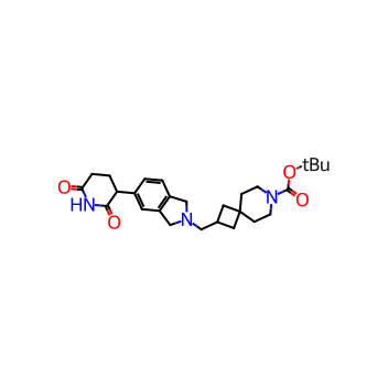 CC(C)(C)OC(=O)N1CCC2(CC1)CC(CN1Cc3ccc(C4CCC(=O)NC4=O)cc3C1)C2